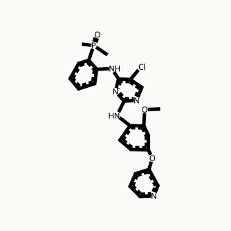 COc1cc(Oc2cccnc2)ccc1Nc1ncc(Cl)c(Nc2ccccc2P(C)(C)=O)n1